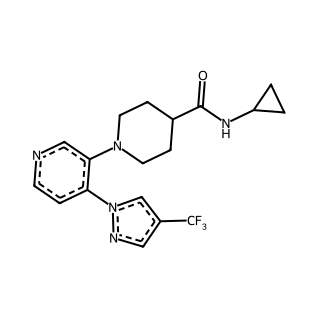 O=C(NC1CC1)C1CCN(c2cnccc2-n2cc(C(F)(F)F)cn2)CC1